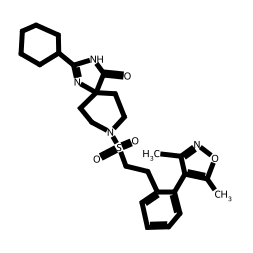 Cc1noc(C)c1-c1ccccc1CCS(=O)(=O)N1CCC2(CC1)N=C(C1CCCCC1)NC2=O